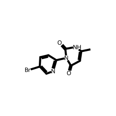 Cc1cc(=O)n(-c2ccc(Br)cn2)c(=O)[nH]1